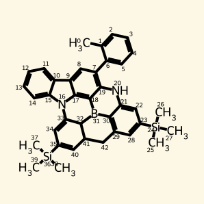 Cc1ccccc1-c1cc2c3ccccc3n3c2c2c1Nc1cc([Si](C)(C)C)cc4c1B2C1C3=CC([Si](C)(C)C)=CC1C4